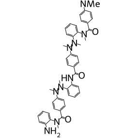 CNc1ccc(C(=O)N(C)c2ccccc2N(C)N(C)c2ccc(C(=O)Nc3ccccc3N(C)N(C)c3ccc(C(=O)N(C)c4ccccc4N)cc3)cc2)cc1